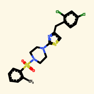 O=S(=O)(c1ccccc1C(F)(F)F)N1CCN(c2nc(Cc3ccc(Cl)cc3Cl)cs2)CC1